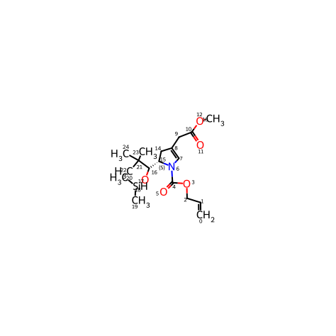 C=CCOC(=O)N1C=C(CC(=O)OC)C[C@H]1C(O[SiH](C)C)C(C)(C)C